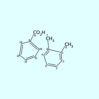 Cc1ccccc1C.O=C(O)c1ccccc1